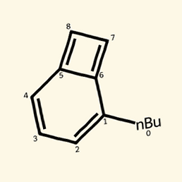 CCCCc1cccc2c1=CC=2